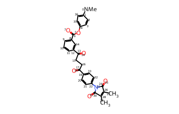 CNc1ccc(OC(=O)c2cccc(C(=O)CCC(=O)c3ccc(N4C(=O)C(C)=C(C)C4=O)cc3)c2)cc1